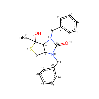 CCCCC1(O)SCC2C1N(Cc1ccccc1)C(=O)N2Cc1ccccc1